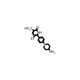 CCc1cc(C(=O)O)c(=O)[nH]c1-c1ccc(N2CCC(N)CC2)cc1